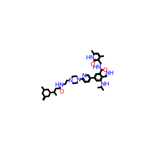 C=C1CC(C)CC(C(C)CC(=O)NCCN2CCN(c3ccc(-c4cc(NC(C)C)c(C=N)c(C(=O)NCc5c(C)cc(C)[nH]c5=O)c4)cn3)CC2)C1